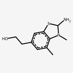 Cc1cc(CCO)cc2c1N(C)C(N)S2